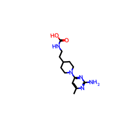 Cc1cc(N2CCC(CCNC(=O)O)CC2)nc(N)n1